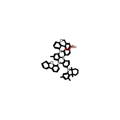 Cc1cc2c3c(c1)N(c1cccc4c1oc1ccccc14)c1cc(N4c5cc(C)cc(C)c5C5(C)CCCCC45C)ccc1B3c1ccc(C(C)(C)C)cc1N2c1cccc2c1-c1ccccc1CO2